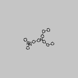 c1ccc(-c2cccc(-c3ccc(N(c4ccc(-c5ccc(-c6cc(-c7ccccc7)nc(-c7ccccc7)n6)cc5)cc4)c4ccc(-c5cccc(-c6ccccc6)c5)cc4)cc3)c2)cc1